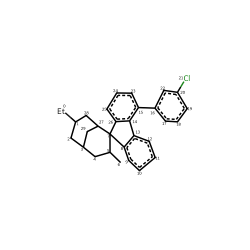 CCC1CC2CC(C)C3(c4ccccc4-c4c(-c5cccc(Cl)c5)cccc43)C(C1)C2